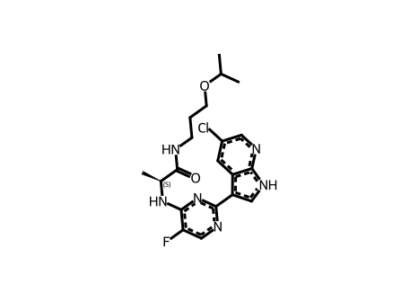 CC(C)OCCCNC(=O)[C@H](C)Nc1nc(-c2c[nH]c3ncc(Cl)cc23)ncc1F